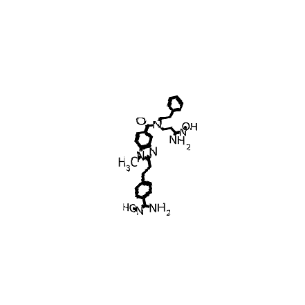 Cn1c(CCc2ccc(/C(N)=N\O)cc2)nc2cc(C(=O)N(CC/C(N)=N\O)CCc3ccccc3)ccc21